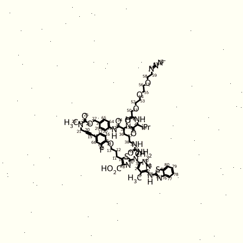 Cc1cc(N(C)c2nc(C(=O)O)c(CCCOc3ccc(C#CCN(C)C(=O)OCc4ccc(NC(=O)C(CCCNC(N)=O)NC(=O)C(NC(=O)COCCOCCOCCN=[N+]=[N-])C(C)C)cc4)cc3F)s2)nnc1Nc1nc2ccccc2s1